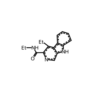 CCNC(=O)c1ncc2[nH]c3ccccc3c2c1CC